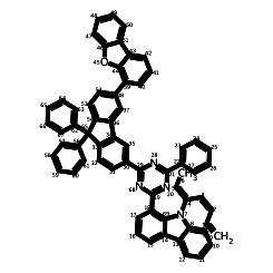 C=C/C=C\C(=C/C)n1c2ccccc2c2cccc(-c3nc(-c4ccccc4)nc(-c4ccc5c(c4)-c4cc(-c6cccc7c6oc6ccccc67)ccc4C5(c4ccccc4)c4ccccc4)n3)c21